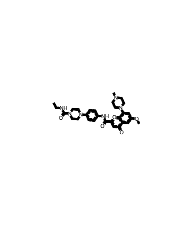 CCNC(=O)N1CCN(c2ccc(NC(=O)c3cc(=O)c4cc(OC)cc(N5CCN(C)CC5)c4o3)cc2)CC1